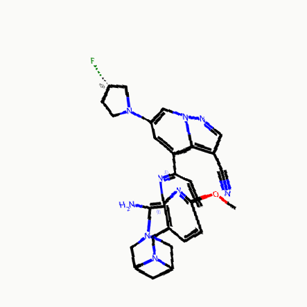 C=C/C(=N\C=C(/N)N1CC2CC(C1)N2Cc1ccc(OC)nc1)c1cc(N2CC[C@H](F)C2)cn2ncc(C#N)c12